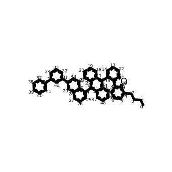 CCCCc1cccc2c1oc1cccc(-c3c4ccccc4c(-c4cccc5cc(-c6cccc(-c7ccccc7)c6)ccc45)c4ccccc34)c12